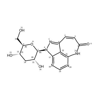 O=C1C=Cc2nn([C@@H]3O[C@H](CO)[C@@H](O)C[C@H]3O)c3ncnc(c23)N1